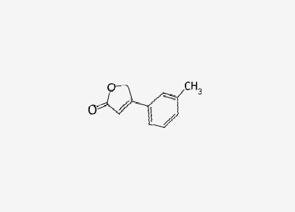 Cc1cccc(C2=CC(=O)OC2)c1